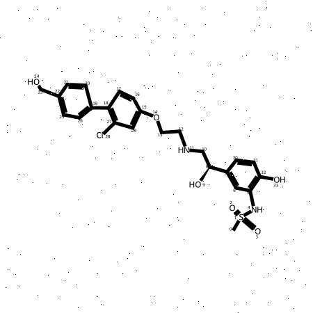 CS(=O)(=O)Nc1cc([C@@H](O)CNCCOc2ccc(-c3ccc(CO)cc3)c(Cl)c2)ccc1O